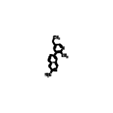 CCc1cnc(C)c(-c2ccc3cc(C)ncc3c2)c1